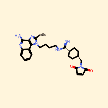 CCCCc1nc2c(N)nc3ccccc3c2n1CCCCNC(=N)[C@H]1CC[C@H](CN2C(=O)C=CC2=O)CC1